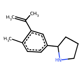 C=C(C)c1cc(C2CCCN2)ccc1C